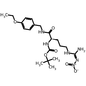 CCOc1ccc(CNC(=O)[C@@H](CCCN/C(N)=N\[N+](=O)[O-])NC(=O)OC(C)(C)C)cc1